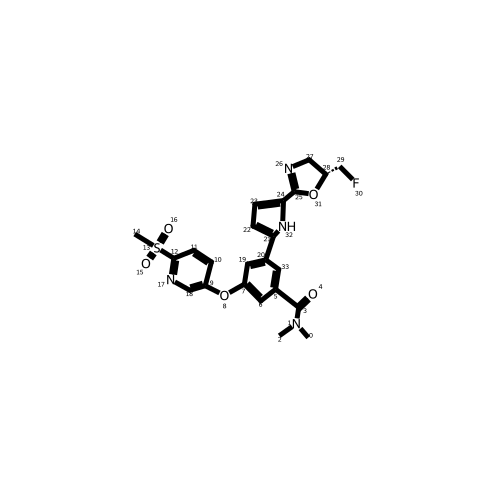 CN(C)C(=O)c1cc(Oc2ccc(S(C)(=O)=O)nc2)cc(-c2ccc(C3=NC[C@H](CF)O3)[nH]2)c1